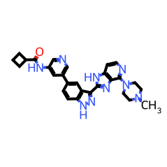 CN1CCN(c2nccc3[nH]c(-c4n[nH]c5ccc(-c6cncc(NC(=O)C7CCC7)c6)cc45)nc23)CC1